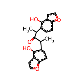 CC(C(=O)C(C)c1ccc2occc2c1O)c1ccc2occc2c1O